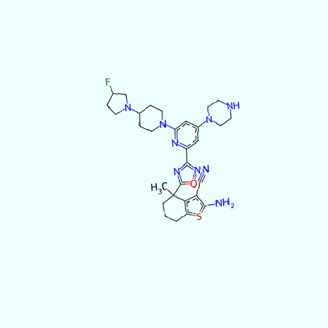 CC1(c2nc(-c3cc(N4CCNCC4)cc(N4CCC(N5CCC(F)C5)CC4)n3)no2)CCCc2sc(N)c(C#N)c21